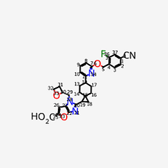 N#Cc1ccc(COc2cccc(C3CCC4(CC3)CC4c3nc4oc(C(=O)O)cc4n3C[C@@H]3CCO3)n2)c(F)c1